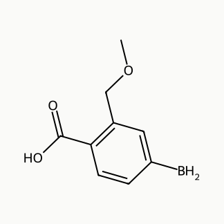 Bc1ccc(C(=O)O)c(COC)c1